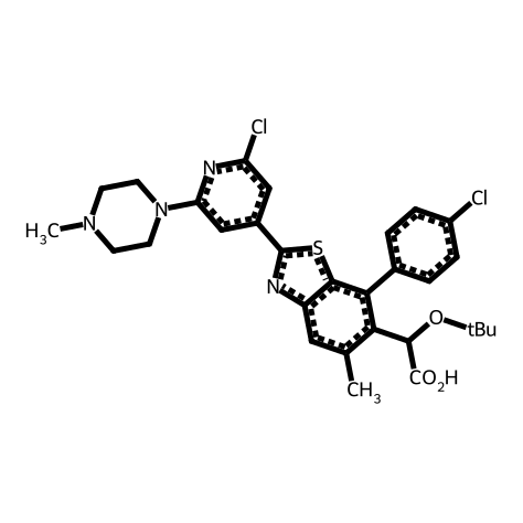 Cc1cc2nc(-c3cc(Cl)nc(N4CCN(C)CC4)c3)sc2c(-c2ccc(Cl)cc2)c1C(OC(C)(C)C)C(=O)O